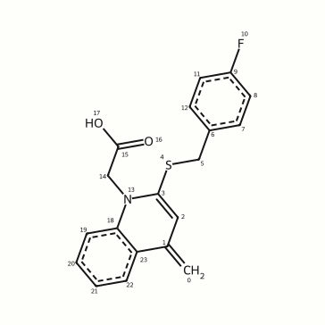 C=C1C=C(SCc2ccc(F)cc2)N(CC(=O)O)c2ccccc21